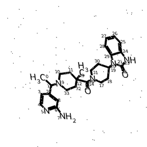 CC(c1ccnc(N)c1)N1CCC(C)(C(=O)N2CCC(n3c(=O)[nH]c4ccccc43)CC2)CC1